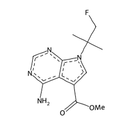 COC(=O)c1cn(C(C)(C)CF)c2ncnc(N)c12